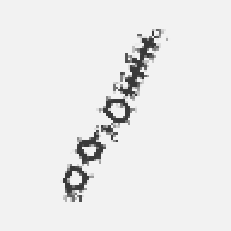 CCC[C@H]1CC[C@H](c2ccc(OC(=O)[C@H]3CC[C@H](C(F)(F)C(F)(F)C(F)(F)C(F)(F)C(F)(F)C(F)(F)C(F)(F)F)CC3)cc2)CC1